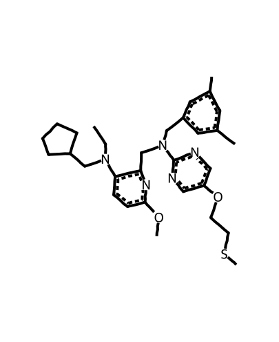 CCN(CC1CCCC1)c1ccc(OC)nc1CN(Cc1cc(C)cc(C)c1)c1ncc(OCCSC)cn1